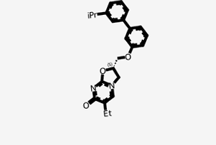 CCc1cn2c(nc1=O)O[C@H](COc1cccc(-c3cccc(C(C)C)c3)c1)C2